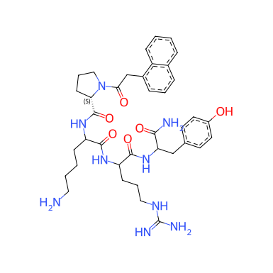 N=C(N)NCCCC(NC(=O)C(CCCCN)NC(=O)[C@@H]1CCCN1C(=O)Cc1cccc2ccccc12)C(=O)NC(Cc1ccc(O)cc1)C(N)=O